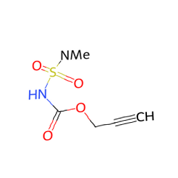 C#CCOC(=O)NS(=O)(=O)NC